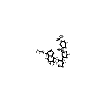 CCCSc1cccc2c(Oc3nnccc3-c3ccnc(NC4CCCN(C(=O)O)C4)n3)c(C)ccc12